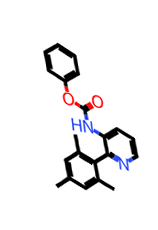 Cc1cc(C)c(-c2ncccc2NC(=O)Oc2ccccc2)c(C)c1